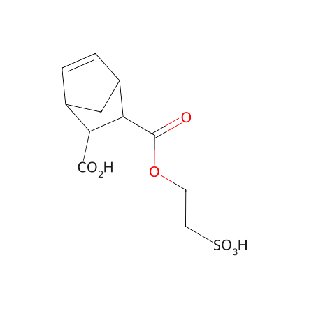 O=C(O)C1C2C=CC(C2)C1C(=O)OCCS(=O)(=O)O